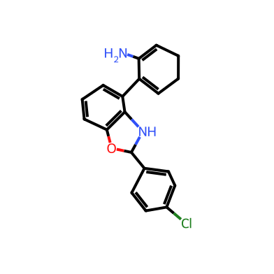 NC1=CCCC=C1c1cccc2c1NC(c1ccc(Cl)cc1)O2